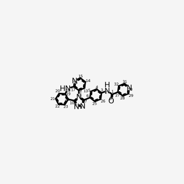 O=C(Nc1ccc(-c2nnc3n2-c2cccnc2Nc2ccccc2-3)cc1)c1ccncc1